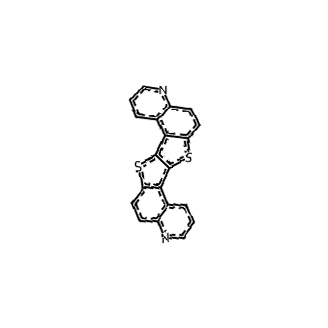 c1cnc2ccc3sc4c(sc5ccc6ncccc6c54)c3c2c1